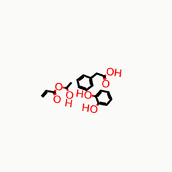 C=CC(=O)OC(C)O.O=C(O)Cc1ccccc1.Oc1ccccc1O